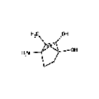 CC1=C(O)C2(O)CCC1([SiH3])C2